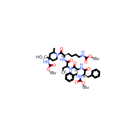 CC1CC(NC(=O)OC(C)(C)C)(C(=O)O)CCN1C(=O)[C@@H](CCCCNC(=O)OC(C)(C)C)NC(=O)C(CC(F)(F)F)NC(=O)[C@@H](Cc1ccccc1)NC(=O)[C@@H](Cc1ccccc1)NC(=O)OC(C)(C)C